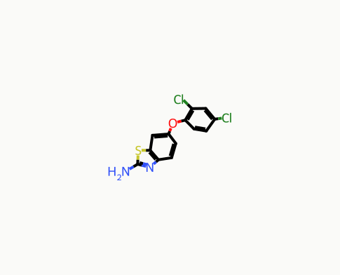 Nc1nc2ccc(Oc3ccc(Cl)cc3Cl)cc2s1